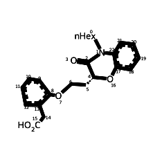 CCCCCCN1C(=O)[C@@H](CCOc2ccccc2CC(=O)O)Oc2ccccc21